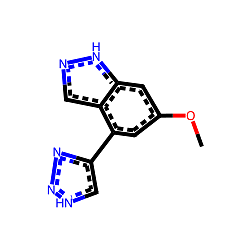 COc1cc(-c2c[nH]nn2)c2cn[nH]c2c1